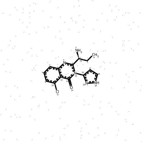 CC[C@H](N)c1nc2cccc(Cl)c2c(=O)n1-c1cc[nH]n1